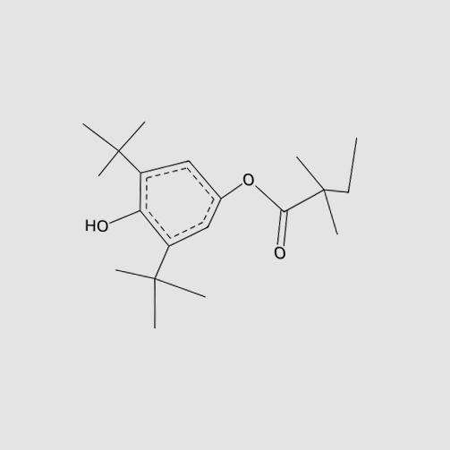 CCC(C)(C)C(=O)Oc1cc(C(C)(C)C)c(O)c(C(C)(C)C)c1